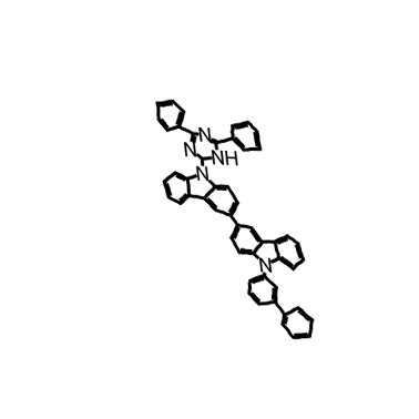 c1ccc(C2=NC(n3c4ccccc4c4cc(-c5ccc6c(c5)c5ccccc5n6-c5cccc(-c6ccccc6)c5)ccc43)NC(c3ccccc3)=N2)cc1